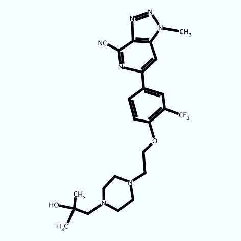 Cn1nnc2c(C#N)nc(-c3ccc(OCCN4CCN(CC(C)(C)O)CC4)c(C(F)(F)F)c3)cc21